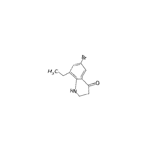 CCc1cc(Br)cc2c1NCCC2=O